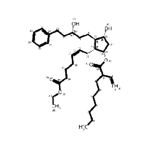 C=CC(CCCCCCC)C(=O)O[C@H]1C[C@@H](O)[C@H](CC[C@@H](O)CCc2ccccc2)[C@H]1C/C=C\CCCC(=O)OCC